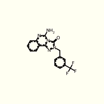 Nc1nc2ccccc2c2nn(Cc3cccc(C(F)(F)F)c3)c(=O)n12